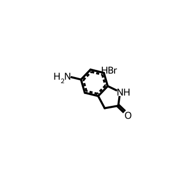 Br.Nc1ccc2c(c1)CC(=O)N2